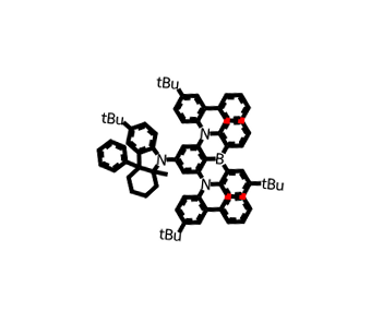 CC(C)(C)c1ccc2c(c1)B1c3ccccc3N(c3ccc(C(C)(C)C)cc3-c3ccccc3)c3cc(N4c5ccc(C(C)(C)C)cc5C5(c6ccccc6)CCCCC45C)cc(c31)N2c1ccc(C(C)(C)C)cc1-c1ccccc1